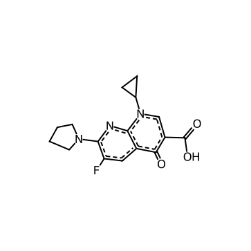 O=C(O)c1cn(C2CC2)c2nc(N3CCCC3)c(F)cc2c1=O